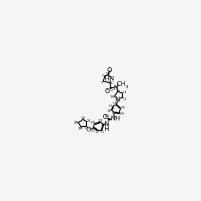 CN(C(=O)C1CCC(=O)N1)C1CCN(c2ccc(NC(=O)Nc3ccc(OC4CCCC4)cc3)cc2)C1